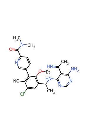 CCOc1c(C(C)Nc2ncnc(N)c2C(C)=N)cc(Cl)c(C#N)c1-c1ccc(C(=O)N(C)C)nc1